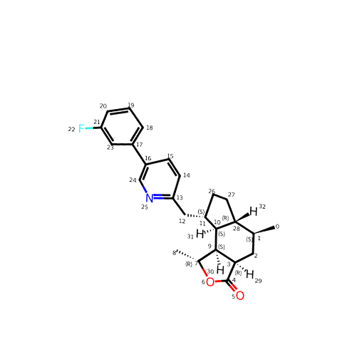 C[C@H]1C[C@H]2C(=O)O[C@H](C)[C@H]2[C@H]2[C@H](Cc3ccc(-c4cccc(F)c4)cn3)CC[C@@H]21